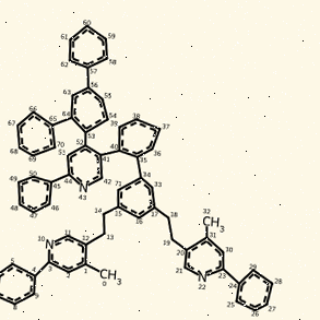 Cc1cc(-c2ccccc2)ncc1CCc1cc(CCc2cnc(-c3ccccc3)cc2C)cc(-c2ccccc2-c2cnc(-c3ccccc3)cc2-c2ccc(-c3ccccc3)cc2-c2ccccc2)c1